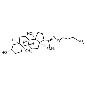 C/C(=N\OCCCN)[C@H]1CC[C@]2(O)[C@@H]3CC[C@@H]4C[C@@H](O)CC[C@]4(C)[C@H]3CC[C@]12C